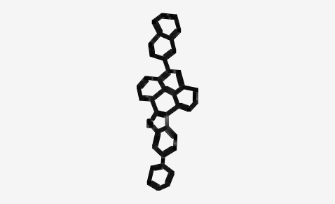 c1ccc(-c2ccc3c(c2)sc2c4cccc5c(-c6ccc7ccccc7c6)cc6cccc(c32)c6c54)cc1